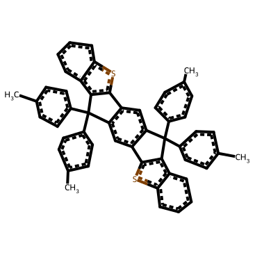 Cc1ccc(C2(c3ccc(C)cc3)c3cc4c(cc3-c3sc5ccccc5c32)C(c2ccc(C)cc2)(c2ccc(C)cc2)c2c-4sc3ccccc23)cc1